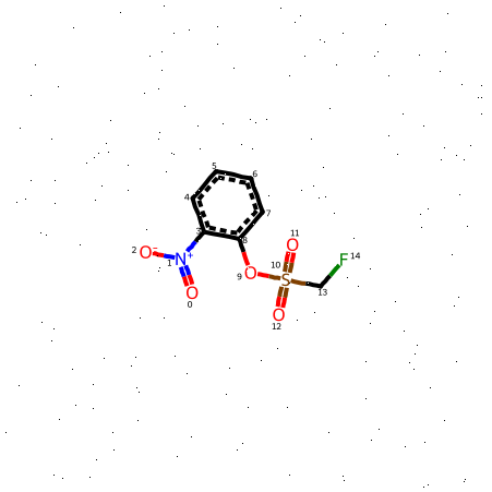 O=[N+]([O-])c1ccccc1OS(=O)(=O)CF